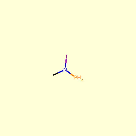 CN(P)I